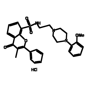 COc1ccccc1N1CCN(CCNS(=O)(=O)c2cccc3c(=O)c(C)c(-c4ccccc4)oc23)CC1.Cl